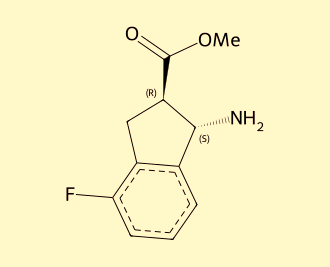 COC(=O)[C@@H]1Cc2c(F)cccc2[C@H]1N